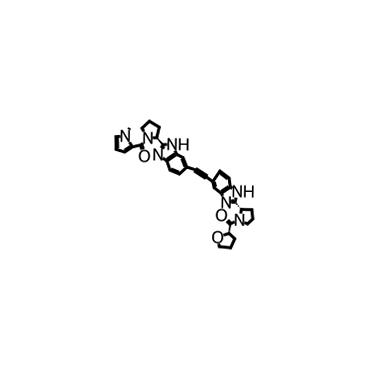 Cn1cccc1C(=O)N1CCC[C@H]1c1nc2ccc(C#Cc3ccc4[nH]c([C@@H]5CCCN5C(=O)[C@H]5CCCO5)nc4c3)cc2[nH]1